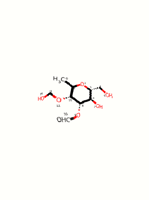 CC1O[C@H](CO)[C@@H](O)[C@H](OC=O)[C@@H]1OCO